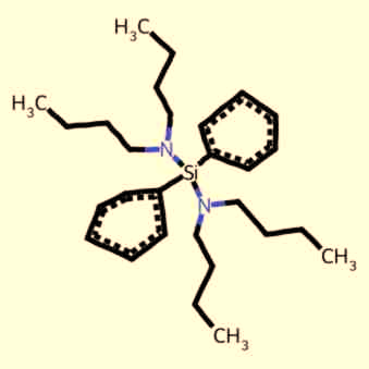 CCCCN(CCCC)[Si](c1ccccc1)(c1ccccc1)N(CCCC)CCCC